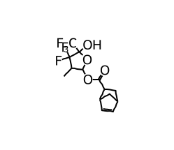 CC1C(OC(=O)C2CC3C=CC2C3)OC(O)(C(F)(F)F)C1(F)F